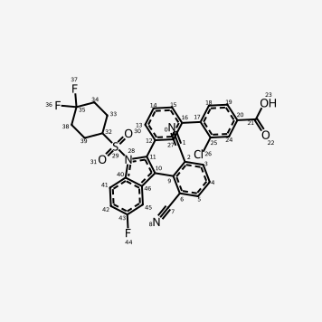 N#Cc1cccc(C#N)c1-c1c(-c2cccc(-c3ccc(C(=O)O)cc3Cl)c2)n(S(=O)(=O)C2CCC(F)(F)CC2)c2ccc(F)cc12